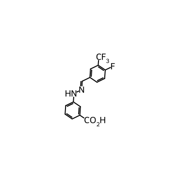 O=C(O)c1cccc(N/N=C/c2ccc(F)c(C(F)(F)F)c2)c1